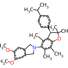 COc1cc2c(cc1OC)CN(c1c(C)c(C)c3c(c1C)[C@@H](c1ccc(C(C)C)cc1)C(C)(C)O3)C2